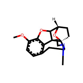 COc1ccc2c3c1OC1[C@@H]4CC[C@]5(O4)C(C2)N(C)CC[C@@]315